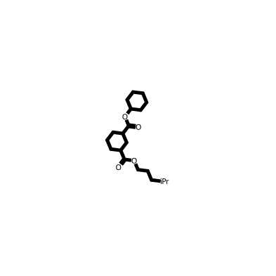 CC(C)CCCOC(=O)C1CCCC(C(=O)OC2CCCCC2)C1